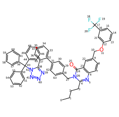 CCCCc1nc2ccc(COc3cccc(C(F)(F)F)c3)cc2c(=O)n1Cc1ccc(-c2ccccc2-c2nnnn2C(c2ccccc2)(c2ccccc2)c2ccccc2)cc1